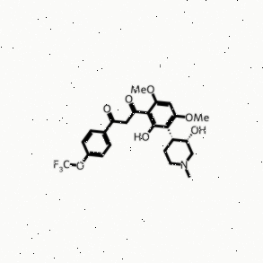 COc1cc(OC)c([C@H]2CCN(C)C[C@H]2O)c(O)c1C(=O)CC(=O)c1ccc(OC(F)(F)F)cc1